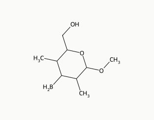 BC1C(C)C(CO)OC(OC)C1C